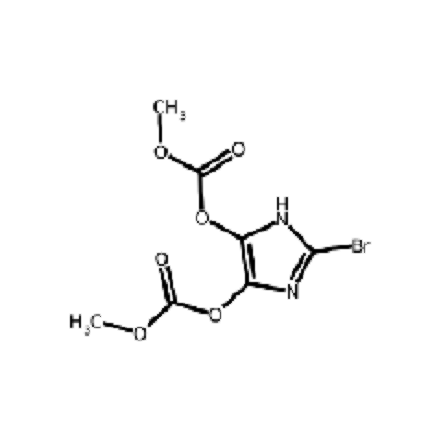 COC(=O)Oc1nc(Br)[nH]c1OC(=O)OC